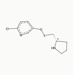 Clc1ccc(OSC[C@@H]2CCCN2)cn1